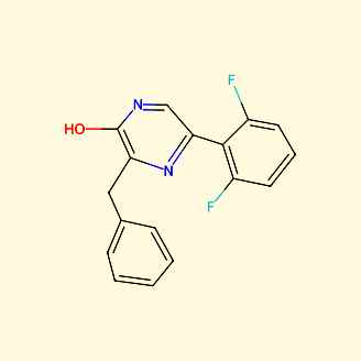 Oc1ncc(-c2c(F)cccc2F)nc1Cc1ccccc1